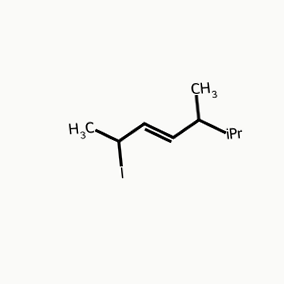 CC(I)/C=C/C(C)C(C)C